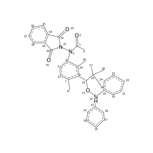 CC(=O)N(c1ccc(C)c(C(O[SiH](c2ccccc2)c2ccccc2)C(C)(C)C)c1C)N1C(=O)c2ccccc2C1=O